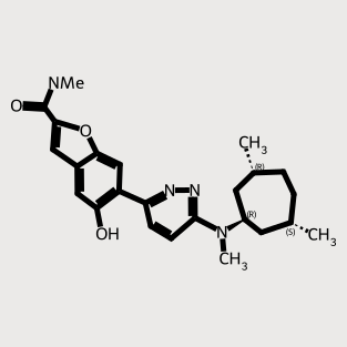 CNC(=O)c1cc2cc(O)c(-c3ccc(N(C)[C@H]4C[C@H](C)CC[C@H](C)C4)nn3)cc2o1